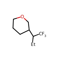 CCC(C1CCCOC1)C(F)(F)F